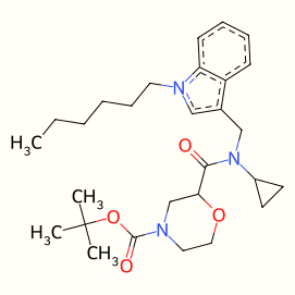 CCCCCCn1cc(CN(C(=O)C2CN(C(=O)OC(C)(C)C)CCO2)C2CC2)c2ccccc21